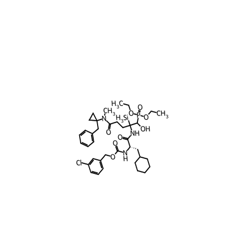 CCOP(=O)(OCC)C(O)C([SiH3])(CCC(=O)N(C)C1(Cc2ccccc2)CC1)NC(=O)[C@H](CC1CCCCC1)NC(=O)OCc1cccc(Cl)c1